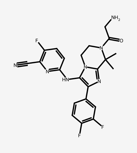 CC1(C)c2nc(-c3ccc(F)c(F)c3)c(Nc3ccc(F)c(C#N)n3)n2CCN1C(=O)CN